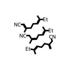 C=C(CC#N)CCC=C(C)CC.CCC(C)=CCC=C(C)CC#N.CCC(C)=CCCC(C)=CC#N